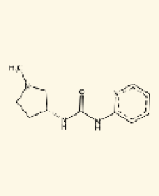 CN1CC[C@@H](NC(=O)Nc2ccccn2)C1